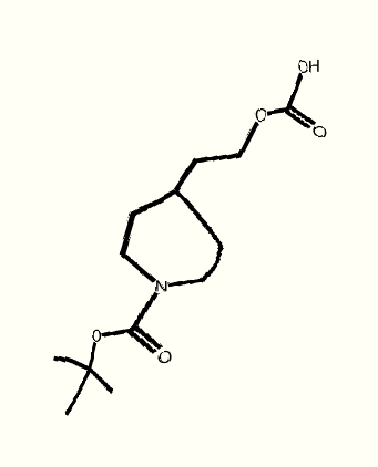 CC(C)(C)OC(=O)N1CCC(CCOC(=O)O)CC1